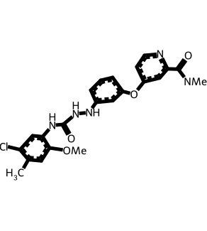 CNC(=O)c1cc(Oc2cccc(NNC(=O)Nc3cc(Cl)c(C)cc3OC)c2)ccn1